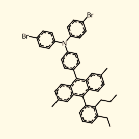 CCCc1c(CC)cccc1-c1c2ccc(C)cc2c(-c2ccc(N(c3ccc(Br)cc3)c3ccc(Br)cc3)cc2)c2ccc(C)cc12